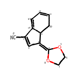 N#CC1=CC(=C2OCCO2)C2CC=CC=C12